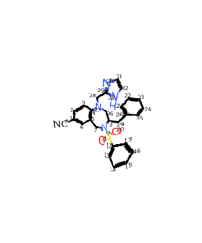 N#Cc1ccc2c(c1)CN(S(=O)(=O)c1ccccc1)C(Cc1ccccc1)CN2Cc1ncc[nH]1